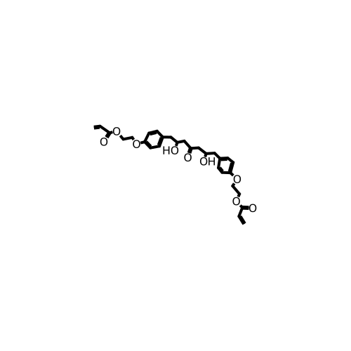 C=CC(=O)OCCOc1ccc(CC(O)CC(=O)CC(O)Cc2ccc(OCCOC(=O)C=C)cc2)cc1